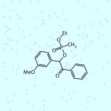 CCOP(C)(=O)OC(C(=O)c1ccccc1)c1cccc(OC)c1